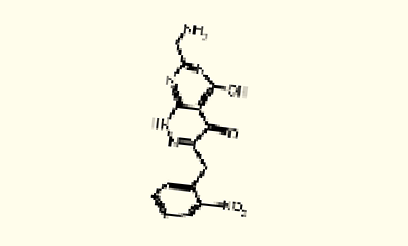 NCc1nc(O)c2c(=O)c(Cc3ccccc3[N+](=O)[O-])n[nH]c2n1